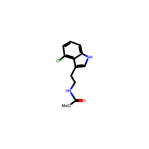 COC(=O)NCCc1c[nH]c2cccc(Cl)c12